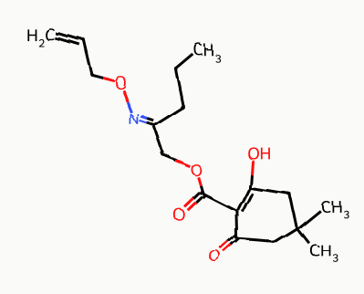 C=CCO/N=C(\CCC)COC(=O)C1=C(O)CC(C)(C)CC1=O